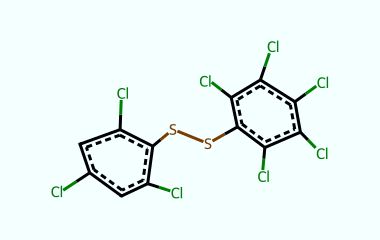 Clc1cc(Cl)c(SSc2c(Cl)c(Cl)c(Cl)c(Cl)c2Cl)c(Cl)c1